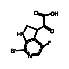 O=C(O)C(=O)C1CNc2c(Br)ncc(F)c21